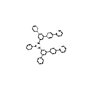 C1=CCC(c2cc(-c3nc(-c4ccccc4)nc(-c4cc(-c5ccccc5)cc(-c5ccc(-c6ccccn6)cc5)c4)n3)cc(C3C=CC(c4ccccn4)=CC3)c2)C=C1